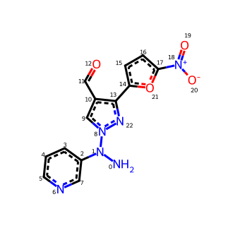 NN(c1cccnc1)n1cc(C=O)c(-c2ccc([N+](=O)[O-])o2)n1